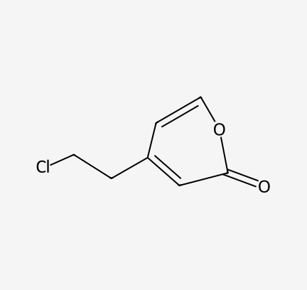 O=c1cc(CCCl)cco1